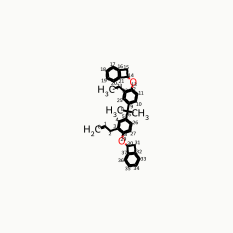 C=CCc1cc(C(C)(C)c2ccc(OC3Cc4ccccc43)c(CC)c2)ccc1OC1Cc2ccccc21